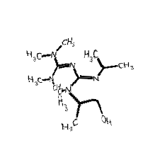 CC(C)/N=C(\N=C(N(C)C)N(C)C)N(C)C(C)CO